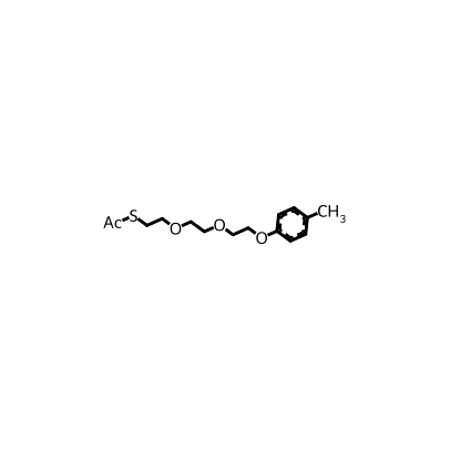 CC(=O)SCCOCCOCCOc1ccc(C)cc1